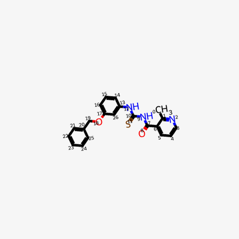 Cc1ncccc1C(=O)NC(=S)Nc1cccc(OCc2ccccc2)c1